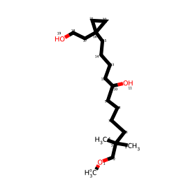 COCC(C)(C)CCCCC(O)CCCCC1(CCO)CC1